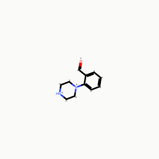 O=Cc1cc[c]cc1N1CCNCC1